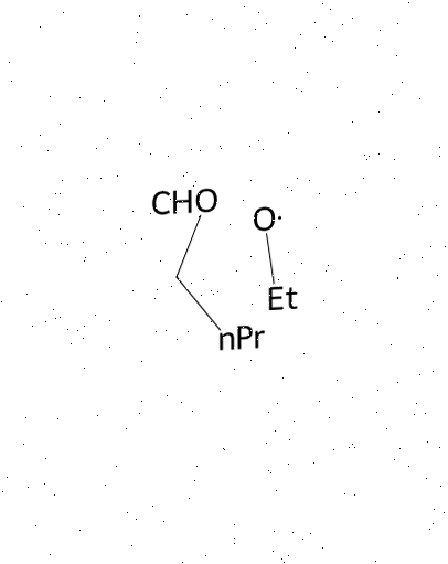 CCCCC=O.CC[O]